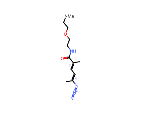 CNCCOCCNC(=O)/C(C)=C/C=C(\C)N=[N+]=[N-]